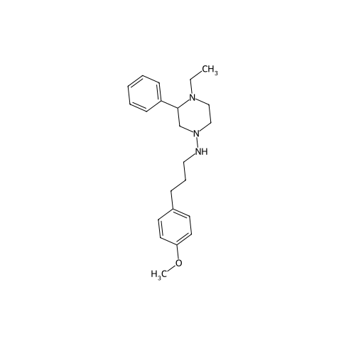 CCN1CCN(NCCCc2ccc(OC)cc2)CC1c1ccccc1